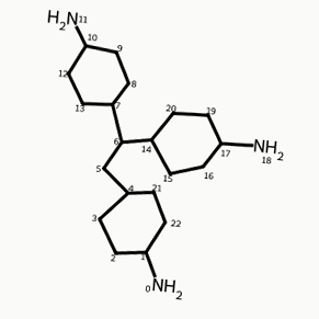 NC1CCC(CC(C2CCC(N)CC2)C2CCC(N)CC2)CC1